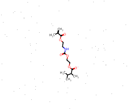 C=C(C)C(=O)OCCNC(=O)OCCOC(=O)C(C)C(C)C